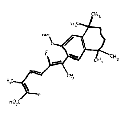 CCCOc1cc2c(cc1C(C)=C(F)C=CC(C)=C(F)C(=O)O)C(C)(C)CCC2(C)C